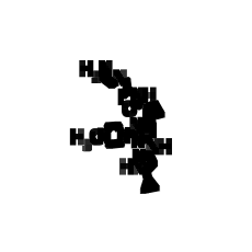 CN1CCN(c2nc(Nc3cc(C4CC4)[nH]n3)nc(N3CC[C@H]3C(=O)NC(I)/C=N\C=C/N)n2)CC1